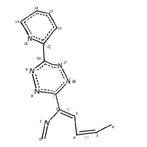 C=N/C(=C\C=C/C)c1nnc(-c2ccccn2)nn1